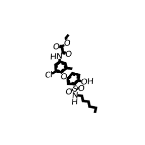 CCCCCCNS(=O)(=O)c1cc(Oc2c(C)cc(NC(=O)C(=O)OCC)cc2Cl)ccc1O